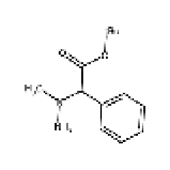 CN(N)C(C(=O)OC(C)(C)C)c1ccccc1